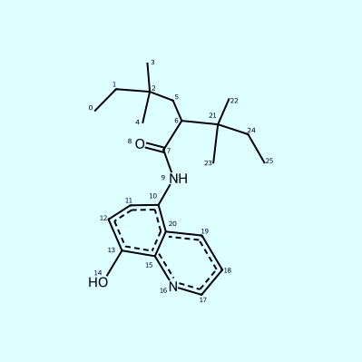 CCC(C)(C)CC(C(=O)Nc1ccc(O)c2ncccc12)C(C)(C)CC